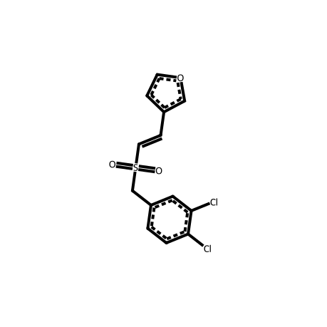 O=S(=O)(C=Cc1ccoc1)Cc1ccc(Cl)c(Cl)c1